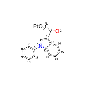 CCOC(=O)C(=O)c1cn(-c2ccccc2)c2ccccc12